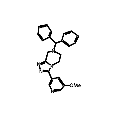 COc1cncc(-c2nnc3n2CCN(C(c2ccccc2)c2ccccc2)C3)c1